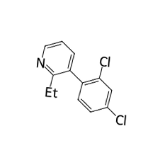 CCc1ncccc1-c1ccc(Cl)cc1Cl